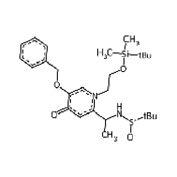 CC(N[S+]([O-])C(C)(C)C)c1cc(=O)c(OCc2ccccc2)cn1CCO[Si](C)(C)C(C)(C)C